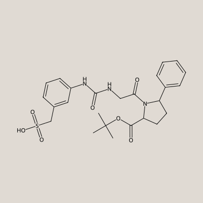 CC(C)(C)OC(=O)C1CCC(c2ccccc2)N1C(=O)CNC(=O)Nc1cccc(CS(=O)(=O)O)c1